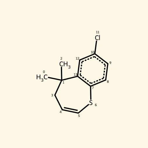 CC1(C)CC=CSc2ccc(Cl)cc21